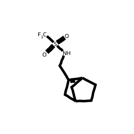 O=S(=O)(NCC1=C2CCC(C2)C1)C(F)(F)F